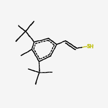 Cc1c(C(C)(C)C)cc(C=CS)cc1C(C)(C)C